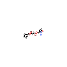 O=C1CCC(COC(=O)/C=C/C(=O)OCc2ccccc2)N1